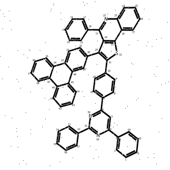 c1ccc(-c2cc(-c3ccc(-c4sc5c(c(-c6ccccc6)nc6ccccc65)c4-c4ccc5c6ccccc6c6ccccc6c5c4)cc3)nc(-c3ccccc3)n2)cc1